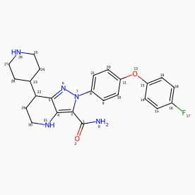 NC(=O)c1c2c(nn1-c1ccc(Oc3ccc(F)cc3)cc1)C(C1CCNCC1)CCN2